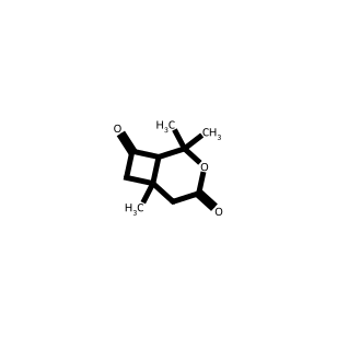 CC12CC(=O)OC(C)(C)C1C(=O)C2